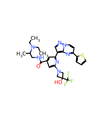 CCN(CC)C(C)CNC(=O)c1cc(-c2cnn3ccc(-c4cccs4)nc23)nc(N2CC(O)(C(F)(F)F)C2)c1